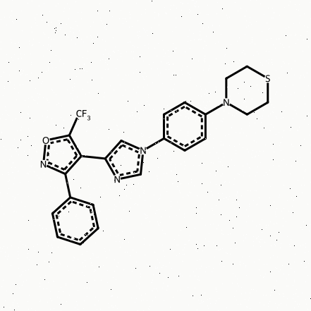 FC(F)(F)c1onc(-c2ccccc2)c1-c1cn(-c2ccc(N3CCSCC3)cc2)cn1